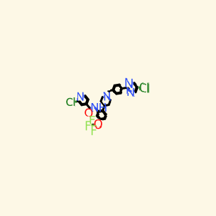 O=C(Nc1cc(OC(F)(F)F)ccc1C1CCN(Cc2ccc(-c3ncc(Cl)cn3)cc2)CC1)c1ccnc(Cl)c1